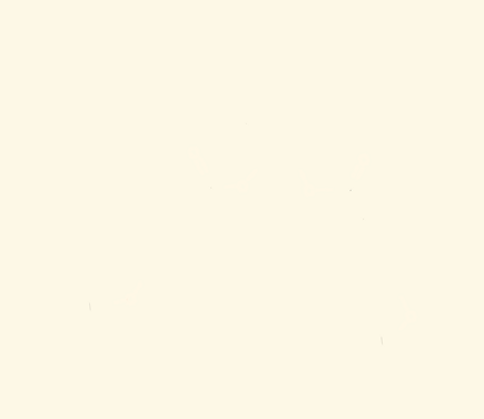 CCOc1ccc(C(=O)OCC(OC(=O)c2ccc(OCC)cc2)C2CCCCC2)cc1